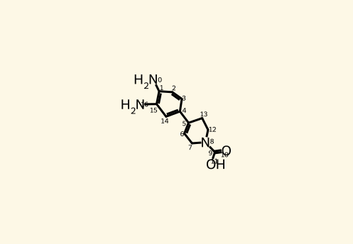 Nc1ccc(C2=CCN(C(=O)O)CC2)cc1N